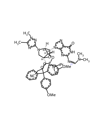 COc1ccc(C(OC[C@@]23CN(c4nc(C)n(C)n4)[C@@H]([C@H](n4cnc5c(=O)[nH]c(/N=C\N(C)C)nc54)O2)[C@@H]3OP(OCCC#N)N(C(C)C)C(C)C)(c2ccccc2)c2ccc(OC)cc2)cc1